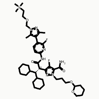 Cc1nn(COCC[Si](C)(C)C)c(C)c1-c1ccc(NC(=O)[C@H](c2nn(CCCOC3CCCCO3)c(C(N)=O)c2F)C(C2CCCCC2)C2CCCCC2)nc1F